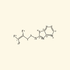 FC(F)=C(F)CCSc1nc2ncccc2s1